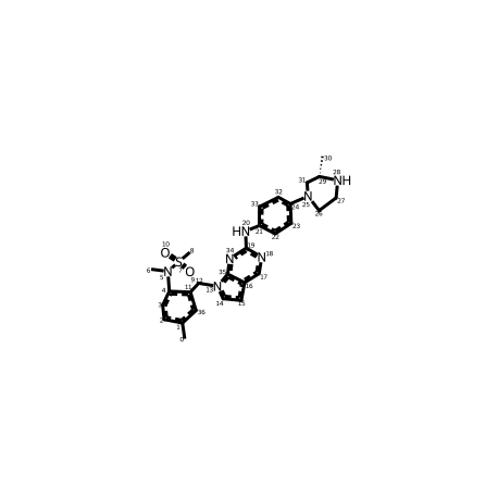 Cc1ccc(N(C)S(C)(=O)=O)c(Cn2ccc3cnc(Nc4ccc(N5CCN[C@@H](C)C5)cc4)nc32)c1